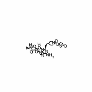 CN1C(=O)CCC1OC(=O)N1CCC(CC#Cc2nc(N)c3ncn([C@@H]4O[C@H](C(=O)NC5CC5)C(O)[C@@H]4O)c3n2)CC1